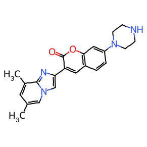 Cc1cc(C)c2nc(-c3cc4ccc(N5CCNCC5)cc4oc3=O)cn2c1